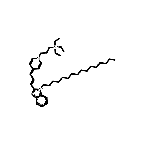 CCCCCCCCCCCCCCCC[n+]1c(/C=C/C=C2C=CN(CCC[N+](CC)(CC)CC)C=C2)sc2ccccc21